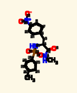 CNC(=O)[C@H](Cc1ccc([N+](=O)[O-])cc1)NS(=O)(=O)c1ccc(C)cc1